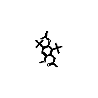 COc1cc(C(C)(C)C)c(OC(C)=O)c(C(C)(C)C)c1CC(C)=O